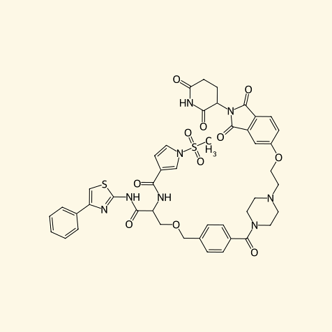 CS(=O)(=O)n1ccc(C(=O)NC(COCc2ccc(C(=O)N3CCN(CCOc4ccc5c(c4)C(=O)N(C4CCC(=O)NC4=O)C5=O)CC3)cc2)C(=O)Nc2nc(-c3ccccc3)cs2)c1